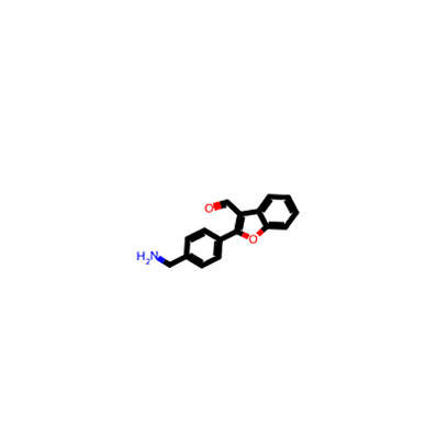 NCc1ccc(-c2oc3ccccc3c2C=O)cc1